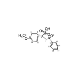 COc1ccc(C(CC(=O)c2ccccc2)S(=O)(=O)O)cc1